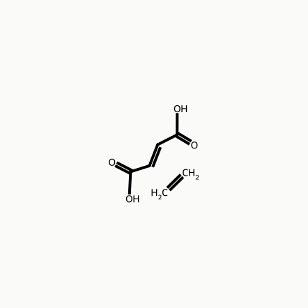 C=C.O=C(O)C=CC(=O)O